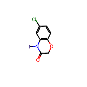 O=C1COc2ccc(Cl)cc2N1I